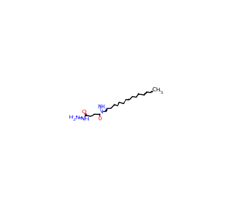 CCCCCCCCCCCCCCC=CN(N)C(=O)CCC(=O)NN